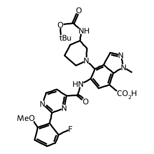 COc1cccc(F)c1-c1nccc(C(=O)Nc2cc(C(=O)O)c3c(cnn3C)c2N2CCCC(NC(=O)OC(C)(C)C)C2)n1